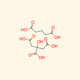 O=C(O)CC(O)(CC(=O)O)C(=O)O.O=C(O)CCCC(=O)O